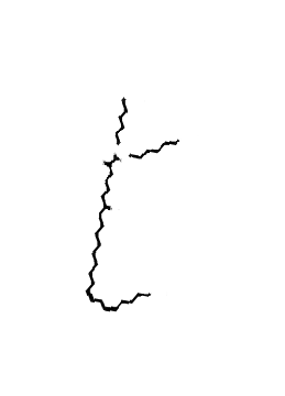 CCCCC/C=C\C/C=C\CCCCCCCCC(O)CCCCC(=O)C(OCCCCCCC)OCCCCCCC